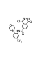 O=C(Nc1cc(C(F)(F)F)ccc1N1CCOCC1)c1ccc2c(=O)[nH]nc(Cl)c2c1